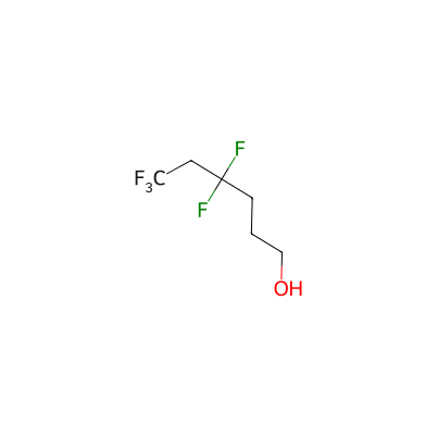 OCCCC(F)(F)CC(F)(F)F